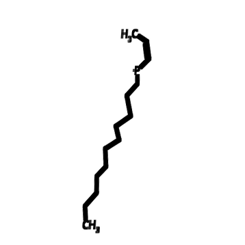 C/C=C\[P]CCCCCCCCCCC